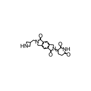 O=C1CC[C@@H](N2Cc3cc4c(cc3C2=O)CN(CC2CNC2)C4=O)C(=O)N1